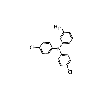 Cc1cccc(N(c2ccc(Cl)cc2)c2ccc(Cl)cc2)c1